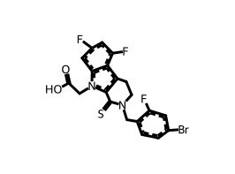 O=C(O)Cn1c2c(c3c(F)cc(F)cc31)CCN(Cc1ccc(Br)cc1F)C2=S